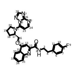 O=C(NCCc1ccc(F)cc1)c1cc(OC[C@H]2CCCN2c2ccnc3ncnn23)c2ccccc2n1